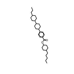 CCCCCC1CCC(OC(=O)c2ccc(C3CCC(C4CCC(CCC)CC4)CC3)cc2)CC1